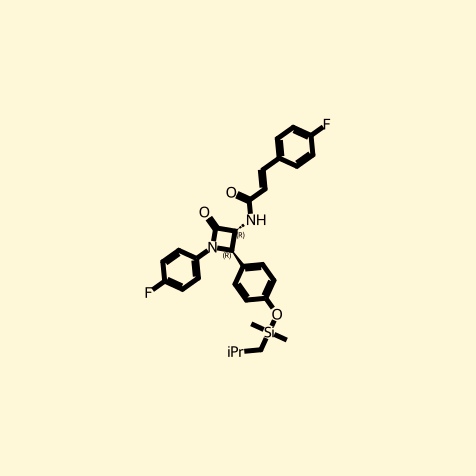 CC(C)C[Si](C)(C)Oc1ccc([C@@H]2[C@@H](NC(=O)C=Cc3ccc(F)cc3)C(=O)N2c2ccc(F)cc2)cc1